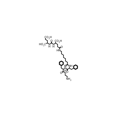 NCCNC(=O)C(Cc1ccccc1)NC(=O)C(Cc1ccccc1)NC(=O)CCCCCCCNC(=O)CCC(NC(=O)NC(CCC(=O)O)C(=O)O)C(=O)O